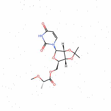 CO[C@@H](C)C(=O)OC[C@H]1O[C@@H](n2ccc(=O)[nH]c2=O)[C@@H]2OC(C)(C)O[C@@H]21